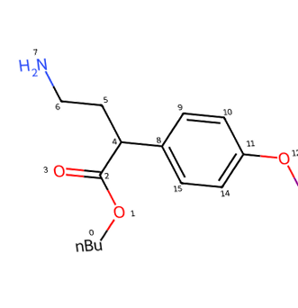 CCCCOC(=O)C(CCN)c1ccc(OI)cc1